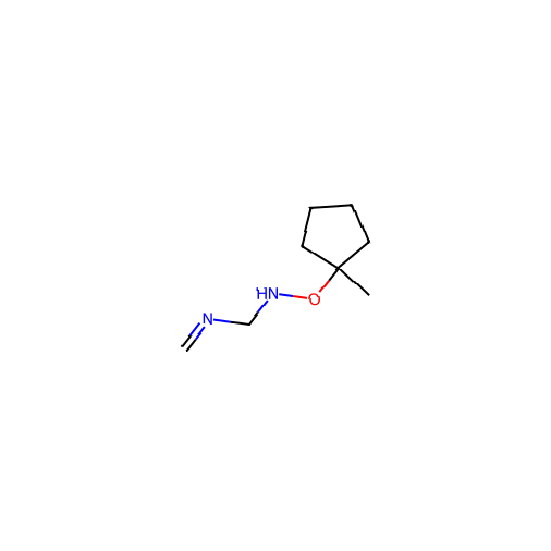 C=NCNOC1(C)CCCC1